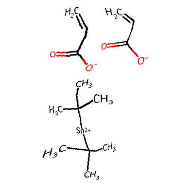 C=CC(=O)[O-].C=CC(=O)[O-].C[C](C)(C)[Sn+2][C](C)(C)C